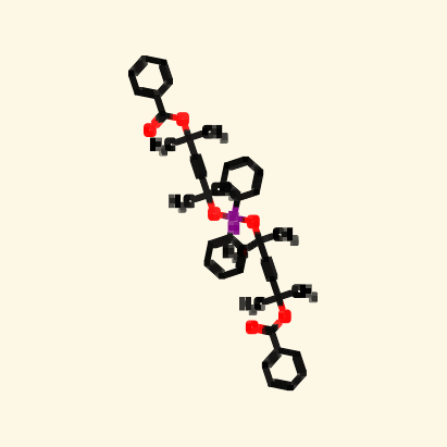 CC(C)(C#CC(C)(C)O[PH](OC(C)(C)C#CC(C)(C)OC(=O)c1ccccc1)(c1ccccc1)c1ccccc1)OC(=O)c1ccccc1